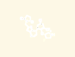 O=C1CCC(=O)N1Cc1cc2nccc(-c3cc(Cl)cc(C(F)(F)F)c3O[C@@H]3CNC[C@@H]3F)c2s1